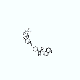 CC(Oc1nc2c(s1)CCN(CC[C@H]1CC[C@H](NC(=O)c3cccc4ncccc34)CC1)C2)C(F)(F)F